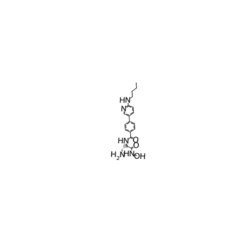 CCCCNc1ccc(-c2ccc(C(=O)N[C@@H](CN)C(=O)NO)cc2)cn1